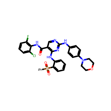 CC(C)S(=O)(=O)c1ccccc1Nc1nc(Nc2ccc(N3CCOCC3)cc2)ncc1C(=O)Nc1c(F)cccc1Cl